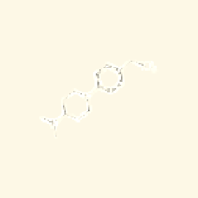 CN(C)C1CCN(c2ccc(CN)cc2)CC1